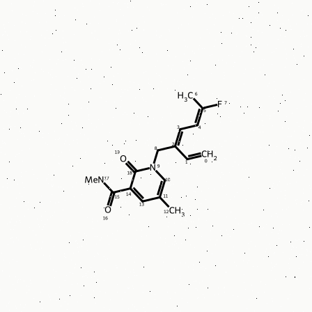 C=C/C(=C\C=C(/C)F)Cn1cc(C)cc(C(=O)NC)c1=O